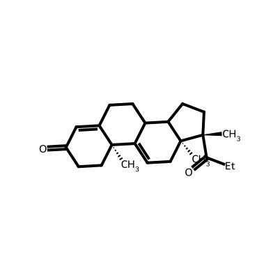 CCC(=O)[C@@]1(C)CCC2C3CCC4=CC(=O)CC[C@]4(C)C3=CC[C@@]21C